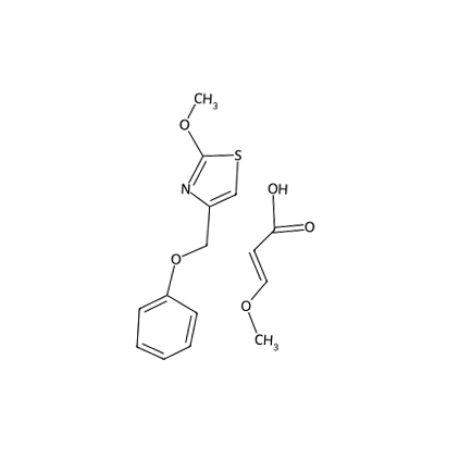 COC=CC(=O)O.COc1nc(COc2ccccc2)cs1